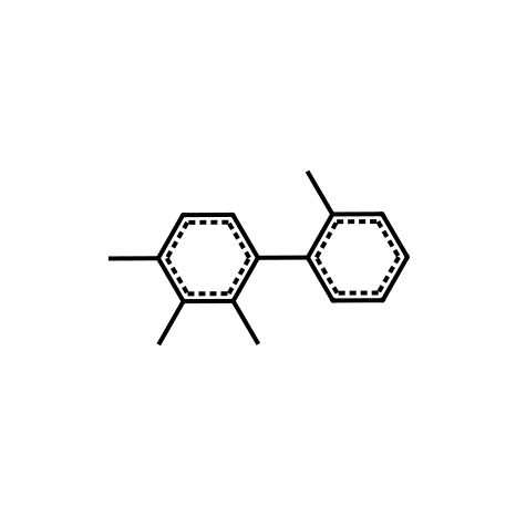 Cc1ccccc1-c1ccc(C)c(C)c1C